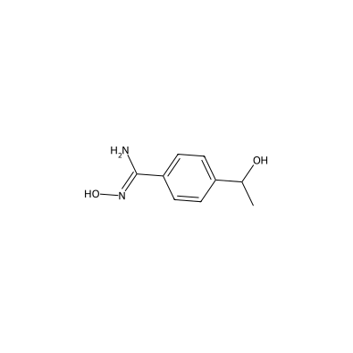 CC(O)c1ccc(/C(N)=N/O)cc1